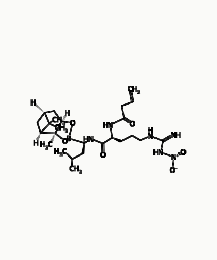 C=CCC(=O)N[C@@H](CCCNC(=N)N[N+](=O)[O-])C(=O)N[C@@H](CC(C)C)B1O[C@@H]2C[C@@H]3C[C@@H](C3(C)C)[C@]2(C)O1